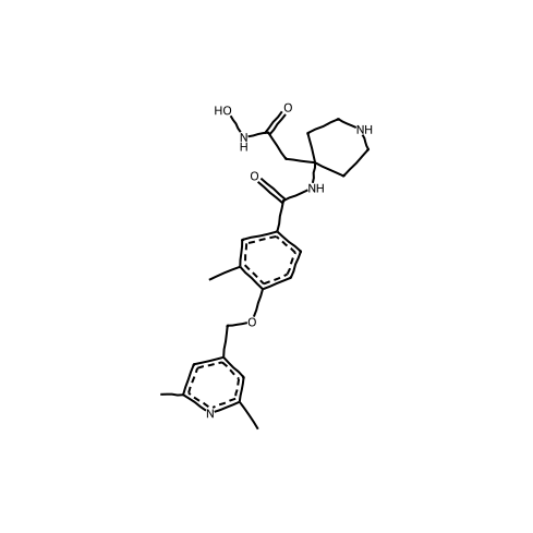 Cc1cc(COc2ccc(C(=O)NC3(CC(=O)NO)CCNCC3)cc2C)cc(C)n1